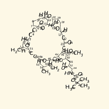 C=C1C[C@@H]2CCC34CC[C@H](O3)[C@H]3C[C@@H](O4)[C@H]4O[C@H](CCC4O3)CC(=O)C[C@@H]3[C@@H](OC)[C@@H](C[C@H](O)CNC(=O)OC(C)(C)C)O[C@H]3C[C@H]3O[C@@H](CC[C@@H]1O2)C[C@@H](C)C3=C